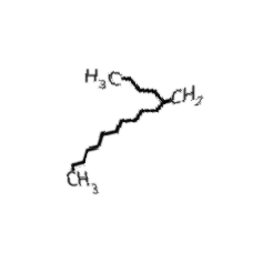 C=C(CCCC)CCCCCCCCCCC